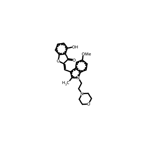 COc1ccc2c(c1)c(C=C1Oc3cccc(O)c3C1=O)c(C)n2CCN1CCOCC1